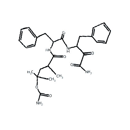 CC(CC(C)(C)OC(N)=O)C(=O)NC(Cc1ccccc1)C(=O)NC(Cc1ccccc1)C(=O)C(N)=O